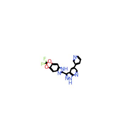 FC1(F)Oc2cc3nc(-c4n[nH]c5ncc(-c6cccnc6)cc45)[nH]c3cc2O1